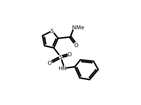 CNC(=O)c1sccc1S(=O)(=O)Nc1ccccc1